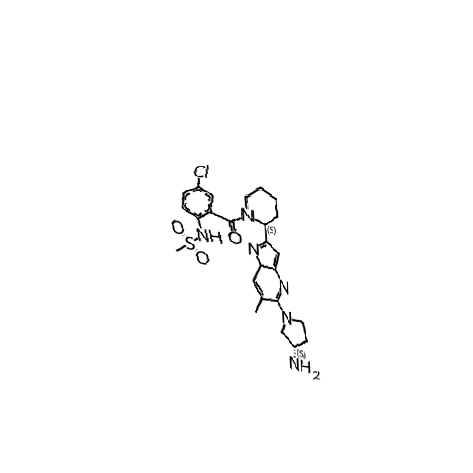 CC1=CC2N=C([C@@H]3CCCCN3C(=O)c3cc(Cl)ccc3NS(C)(=O)=O)C=C2N=C1N1CC[C@H](N)C1